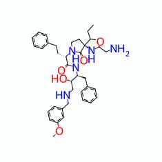 CCC(C)[C@@]1(NC(=O)CN)CCN([C@@H](CCc2ccccc2)C(=O)N[C@@H](Cc2ccccc2)[C@H](O)CNCc2cccc(OC)c2)C1=O